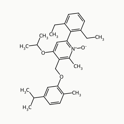 CCc1cccc(CC)c1-c1cc(OC(C)C)c(COc2cc(C(C)C)ccc2C)c(C)[n+]1[O-]